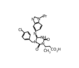 CC(C)n1cnc2cc(/N=c3\[nH]c(=O)n([C@@H](C)CC(=O)O)c(=O)n3Cc3ccc(Cl)cc3)ccc21